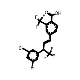 O=C(O)c1ccc(C=CC(c2cc(Cl)cc(Br)c2)C(F)(F)F)cc1C(F)(F)F